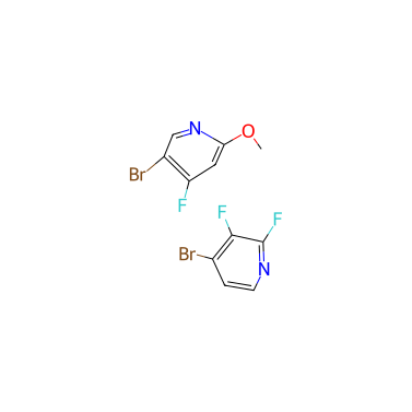 COc1cc(F)c(Br)cn1.Fc1nccc(Br)c1F